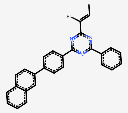 C/C=C(\CC)c1nc(-c2ccccc2)nc(-c2ccc(-c3ccc4ccccc4c3)cc2)n1